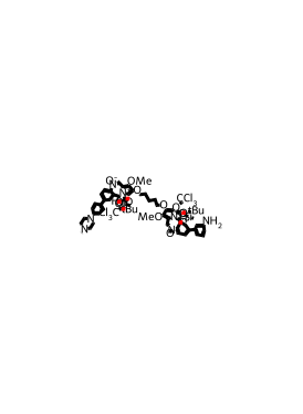 COC1=C2C=[N+]([O-])C3=CC=C(c4ccc(N5CCN(C)CC5)cc4)C[C@@H]3[C@H](O[Si](C)(C)C(C)(C)C)[N+]2(C(=O)OCC(Cl)(Cl)Cl)C=C1OCCCCCOC1=C[N+]2(C(=O)OCC(Cl)(Cl)Cl)C(=C1OC)C=[N+]([O-])C1=CC=C(c3cccc(N)c3)C[C@@H]1[C@@H]2O[Si](C)(C)C(C)(C)C